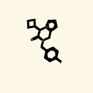 O=C1C(C2CCC2)n2cncc2CN1Cc1ccc(F)cc1